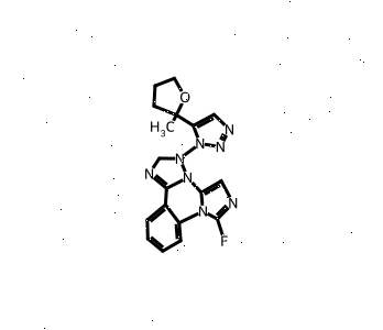 CC1(c2cnnn2N2CN=C3c4ccccc4-n4c(cnc4F)N32)CCCO1